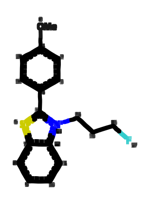 COc1ccc(-c2sc3ccccc3[n+]2CCCF)cc1